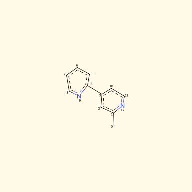 Cc1cc(-c2ccccn2)ccn1